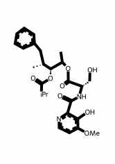 COc1ccnc(C(=O)N[C@@H](CO)C(=O)OC(C)[C@H](OC(=O)C(C)C)[C@H](C)Cc2ccccc2)c1O